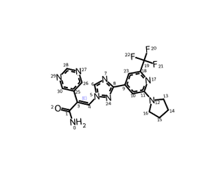 NC(=O)/C(=C/n1cnc(-c2cc(N3CCCC3)nc(C(F)(F)F)c2)n1)c1cncnc1